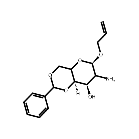 C=CCO[C@@H]1OC2COC(c3ccccc3)O[C@@H]2[C@H](O)C1N